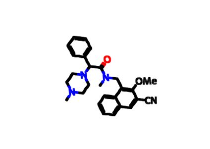 COc1c(C#N)cc2ccccc2c1CN(C)C(=O)C(c1ccccc1)N1CCN(C)CC1